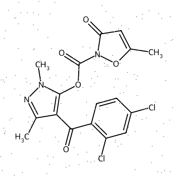 Cc1cc(=O)n(C(=O)Oc2c(C(=O)c3ccc(Cl)cc3Cl)c(C)nn2C)o1